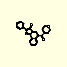 O=C(N1CCOCC1)n1cc2c(=O)n(-c3ccccc3)nc-2c2ccccc21